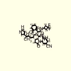 C=C(/C=C\C=C(/C)c1cn[nH]c1)N(/C(=N/C)[C@@H]1CCC(=O)N1c1cc(C#N)ccn1)C(C(=O)NC1CC(F)(F)C1)c1ccccc1Cl